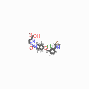 O=C(O)c1ccn(C(=O)N2C[C@H]3C[C@H](OCc4cccc(-c5cscn5)c4Cl)C[C@H]3C2)n1